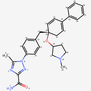 Cc1nc(C(N)=O)nn1-c1ccc(C[C@@]2(OC3CCN(C)C3)C=CC(c3ccccc3)=CC2)cc1